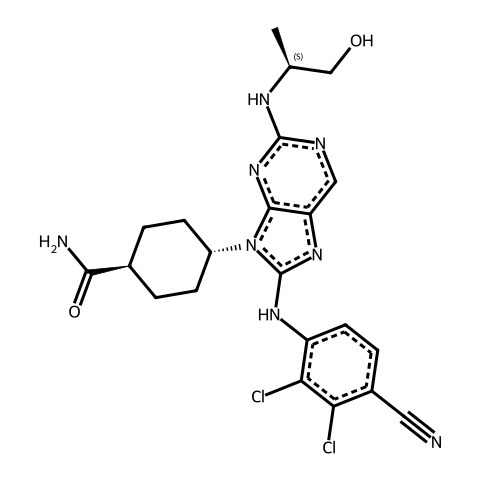 C[C@@H](CO)Nc1ncc2nc(Nc3ccc(C#N)c(Cl)c3Cl)n([C@H]3CC[C@H](C(N)=O)CC3)c2n1